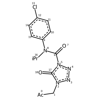 CC(=O)Cn1nnn(C(=O)N(c2ccc(Cl)cc2)C(C)C)c1=O